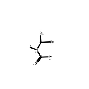 CC(C)C(=O)N(C)C(C(C)(C)C)C(C)(C)C